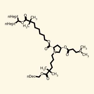 CCCCCCCCCCCOC(=O)C(C)(C)CCCCN1C[C@@H](OC(=O)CCN(C)C)C[C@H]1C(=O)OCCCCCCC(C)(C)C(=O)OC(CCCCCCC)CCCCCCC